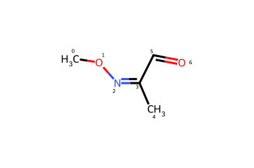 CON=C(C)C=O